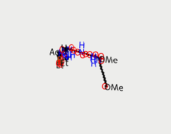 CCOP(=O)(COc1ccc2c(C(C)=O)cn(CC(=O)N3[C@H](C(=O)Nc4nc(Br)ccc4C)C[C@@]4(CNC(=O)COCCOCCNC(=O)COCCOCCNC(=O)CC[C@H](NC(=O)CCCCCCCCCCCCCCCCC(=O)OC)C(=O)OC)C[C@@H]34)c2c1)OCC